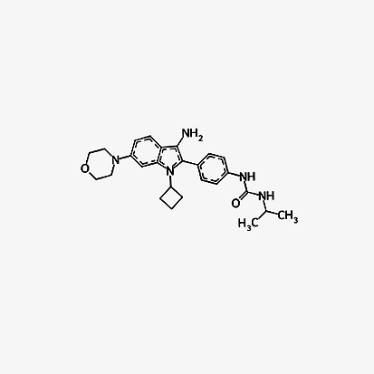 CC(C)NC(=O)Nc1ccc(-c2c(N)c3ccc(N4CCOCC4)cc3n2C2CCC2)cc1